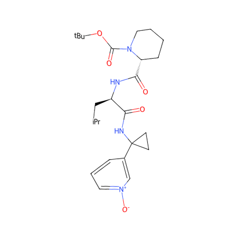 CC(C)C[C@@H](NC(=O)[C@H]1CCCCN1C(=O)OC(C)(C)C)C(=O)NC1(c2ccc[n+]([O-])c2)CC1